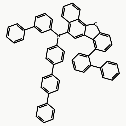 c1ccc(-c2ccc(-c3ccc(N(c4cccc(-c5ccccc5)c4)c4cc5c(oc6cccc(-c7ccccc7-c7ccccc7)c65)c5ccccc45)cc3)cc2)cc1